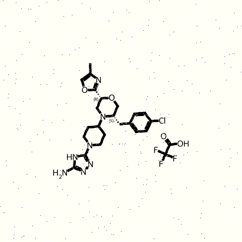 Cc1coc([C@H]2CN(C3CCN(c4nnc(N)[nH]4)CC3)[C@@H](Cc3ccc(Cl)cc3)CO2)n1.O=C(O)C(F)(F)F